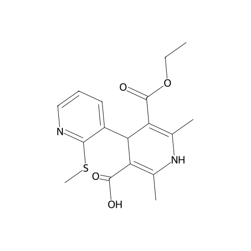 CCOC(=O)C1=C(C)NC(C)=C(C(=O)O)C1c1cccnc1SC